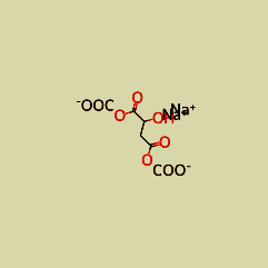 O=C([O-])OC(=O)CC(O)C(=O)OC(=O)[O-].[Na+].[Na+]